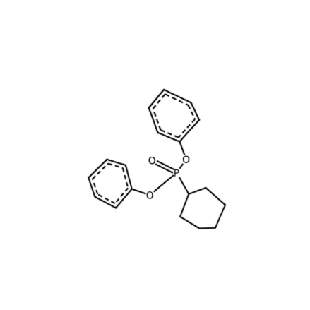 O=P(Oc1ccccc1)(Oc1ccccc1)C1CCCCC1